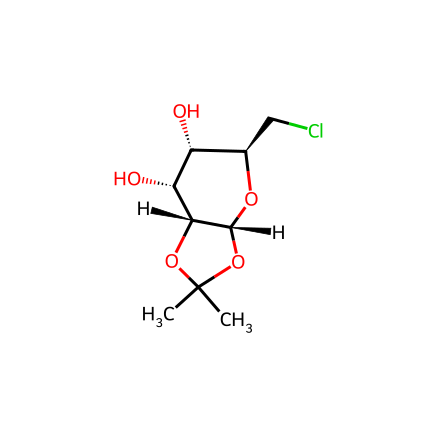 CC1(C)O[C@H]2O[C@H](CCl)[C@@H](O)[C@@H](O)[C@H]2O1